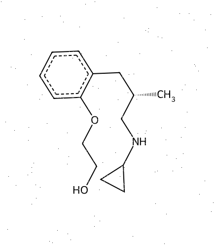 C[C@H](CNC1CC1)Cc1ccccc1OCCO